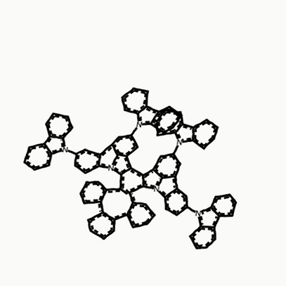 c1ccc2c(c1)c1ccccc1c1c(c3ccccc23)c2c(c3cc(-n4c5ccccc5c5ccccc54)cc4c5cc(-n6c7ccccc7c7ccccc76)ccc5n2c43)c2c3cc(-n4c5ccccc5c5ccccc54)cc4c5cc(-n6c7ccccc7c7ccccc76)ccc5n(c43)c12